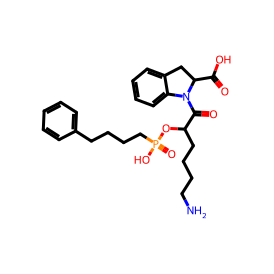 NCCCCC(OP(=O)(O)CCCCc1ccccc1)C(=O)N1c2ccccc2CC1C(=O)O